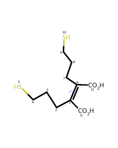 O=C(O)/C(CCCS)=C(/CCCS)C(=O)O